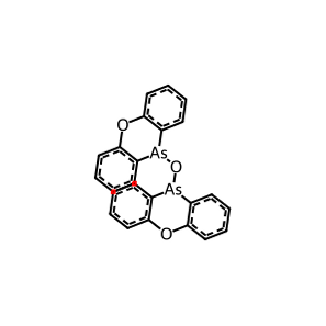 c1ccc2c(c1)Oc1ccccc1[As]2O[As]1c2ccccc2Oc2ccccc21